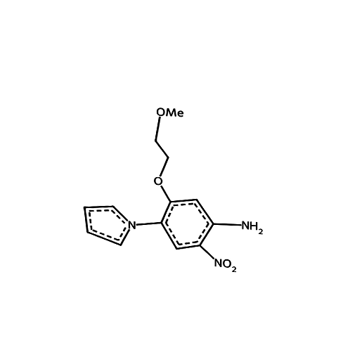 COCCOc1cc(N)c([N+](=O)[O-])cc1-n1cccc1